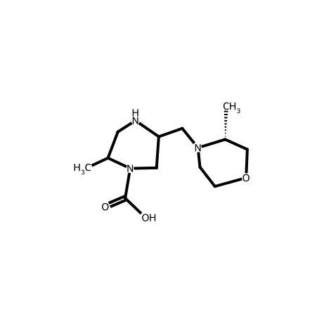 CC1CNC(CN2CCOC[C@H]2C)CN1C(=O)O